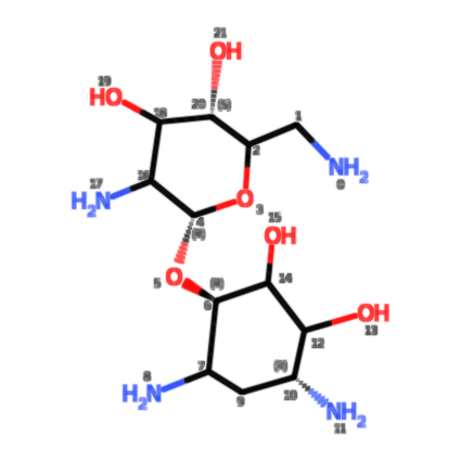 NCC1O[C@H](O[C@@H]2C(N)C[C@@H](N)C(O)C2O)C(N)C(O)[C@@H]1O